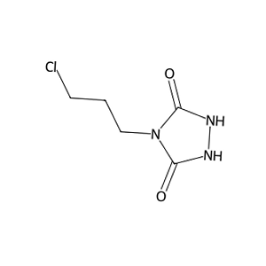 O=c1[nH][nH]c(=O)n1CCCCl